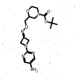 Bc1cnc(N2CC(=NOCC3CN(C(=O)OC(C)(C)C)CCO3)C2)nc1